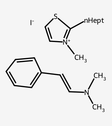 CCCCCCCc1scc[n+]1C.CN(C)C=Cc1ccccc1.[I-]